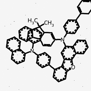 CC1(C)c2ccccc2C2C=CC(N(c3ccc(C4=CC=CCC4)cc3)c3cc4c(oc5cccc(-c6ccc(N(c7ccccc7)c7cccc8ccccc78)cc6)c54)c4ccccc34)=CC21